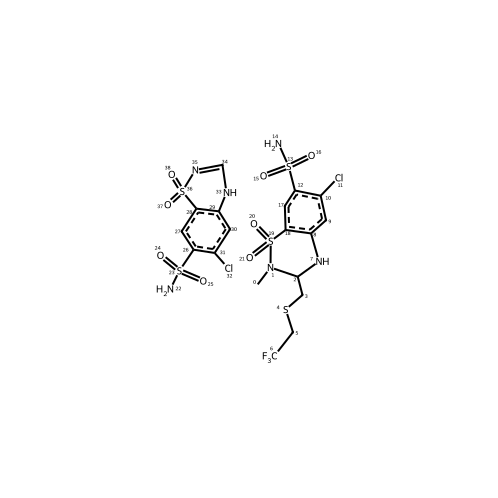 CN1C(CSCC(F)(F)F)Nc2cc(Cl)c(S(N)(=O)=O)cc2S1(=O)=O.NS(=O)(=O)c1cc2c(cc1Cl)NC=NS2(=O)=O